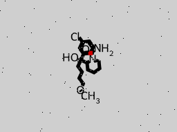 COCCCC[C@](O)(c1cccc(Cl)c1)C1CCCCN1C(N)=O